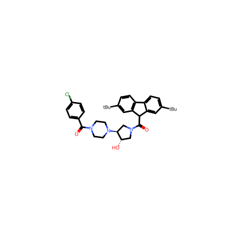 CC(C)(C)c1ccc2c(c1)C(C(=O)N1C[C@H](O)[C@@H](N3CCN(C(=O)c4ccc(Cl)cc4)CC3)C1)c1cc(C(C)(C)C)ccc1-2